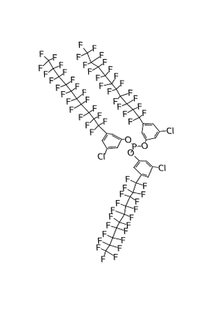 FC(F)(F)C(F)(F)C(F)(F)C(F)(F)C(F)(F)C(F)(F)C(F)(F)C(F)(F)C(F)(F)C(F)(F)c1cc(Cl)cc(OP(Oc2cc(Cl)cc(C(F)(F)C(F)(F)C(F)(F)C(F)(F)C(F)(F)C(F)(F)C(F)(F)C(F)(F)C(F)(F)C(F)(F)F)c2)Oc2cc(Cl)cc(C(F)(F)C(F)(F)C(F)(F)C(F)(F)C(F)(F)C(F)(F)C(F)(F)C(F)(F)C(F)(F)C(F)(F)F)c2)c1